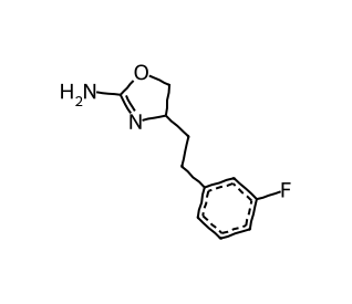 NC1=NC(CCc2cccc(F)c2)CO1